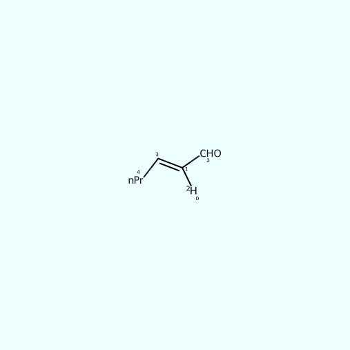 [2H]C(C=O)=CCCC